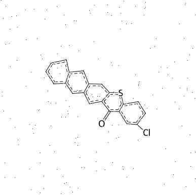 O=c1c2cc(Cl)ccc2sc2cc3cc4ccccc4cc3cc12